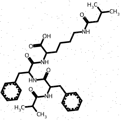 CC(C)CC(=O)NCCCCC(NC(=O)C(Cc1ccccc1)NC(=O)C(Cc1ccccc1)NC(=O)C(C)C)C(=O)O